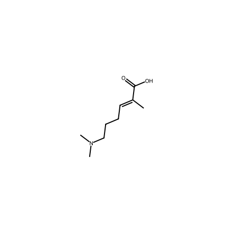 C/C(=C\CCCN(C)C)C(=O)O